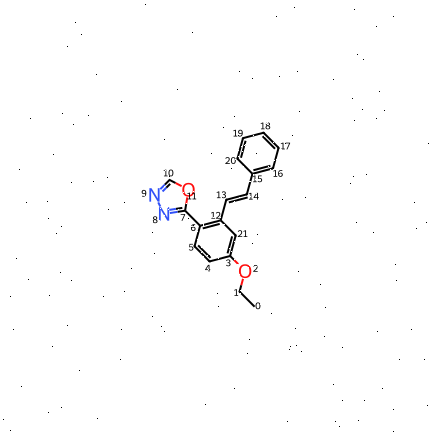 CCOc1ccc(-c2nnco2)c(C=Cc2ccccc2)c1